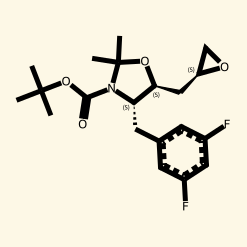 CC(C)(C)OC(=O)N1[C@@H](Cc2cc(F)cc(F)c2)[C@H](C[C@H]2CO2)OC1(C)C